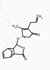 C=CCC1=C(C)[C@@H](OC2OC(=O)C3=C4C=CC(C4)C32)CC1=O